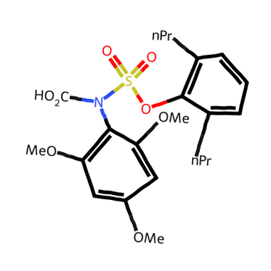 CCCc1cccc(CCC)c1OS(=O)(=O)N(C(=O)O)c1c(OC)cc(OC)cc1OC